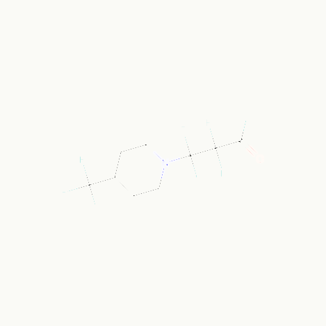 O=C(F)C(F)(F)C(F)(F)N1CCC(C(F)(F)F)CC1